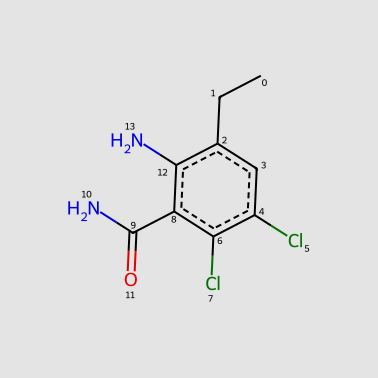 CCc1cc(Cl)c(Cl)c(C(N)=O)c1N